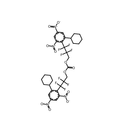 O=C(OCC(F)(F)C(F)(F)c1c(C2CCCCC2)cc([N+](=O)[O-])cc1[N+](=O)[O-])OCC(F)(F)C(F)(F)c1c(C2CCCCC2)cc([N+](=O)[O-])cc1[N+](=O)[O-]